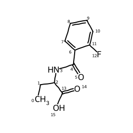 CCC(NC(=O)c1ccccc1F)C(=O)O